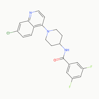 O=C(NC1CCN(c2ccnc3cc(Cl)ccc23)CC1)c1cc(F)cc(F)c1